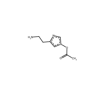 CC(=O)On1cnc(CCN)c1